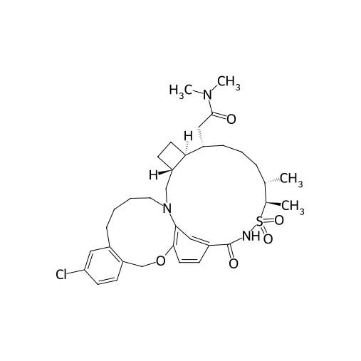 C[C@@H]1[C@@H](C)CCC[C@@H](CC(=O)N(C)C)[C@@H]2CC[C@H]2CN2CCCCc3cc(Cl)ccc3COc3ccc(cc32)C(=O)NS1(=O)=O